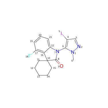 Cn1ncc(I)c1N1C(=O)C2(CCCCC2)c2c(F)cccc21